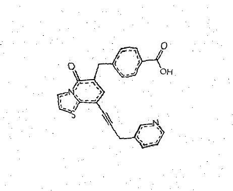 O=C(O)c1ccc(Cc2cc(C#CCc3cccnc3)c3sccn3c2=O)cc1